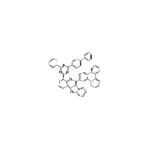 c1ccc(-c2ccc(-c3nc(-c4ccccc4)nc(-c4cccc5c4nc(-c4ccc6c7ccccc7c7ccccc7c6c4)c4c6ccccc6oc54)n3)cc2)cc1